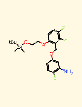 CC(C)(C)[Si](C)(C)OCCOc1ccc(F)c(F)c1COc1ccc(F)c(N)c1